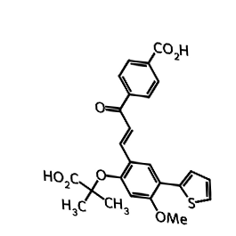 COc1cc(OC(C)(C)C(=O)O)c(/C=C/C(=O)c2ccc(C(=O)O)cc2)cc1-c1cccs1